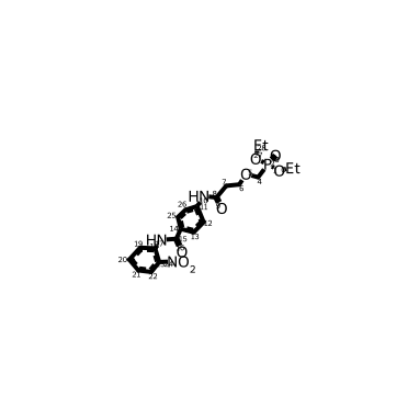 CCOP(=O)(COCCC(=O)Nc1ccc(C(=O)Nc2ccccc2[N+](=O)[O-])cc1)OCC